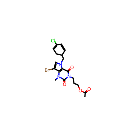 CC(=O)OCCCn1c(=O)c2c(c(Br)cn2CC2C=CC(Cl)=CC2)n(C)c1=O